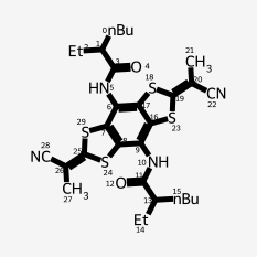 CCCCC(CC)C(=O)Nc1c2c(c(NC(=O)C(CC)CCCC)c3c1SC(=C(C)C#N)S3)SC(=C(C)C#N)S2